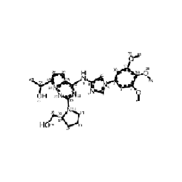 COc1cc(-n2cnc(Nc3nc(N4CCC[C@H]4CO)nn4c(C(C)O)ccc34)c2)cc(OC)c1OC